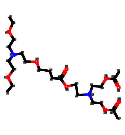 CCOCCN(CCOCC)CCOCCCC(=O)OCCN(CCOC(C)=O)CCOC(C)=O